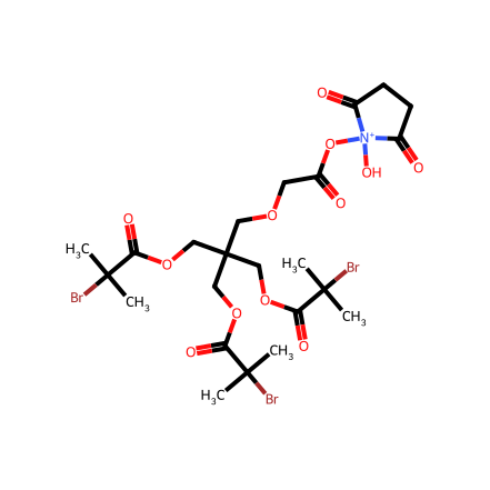 CC(C)(Br)C(=O)OCC(COCC(=O)O[N+]1(O)C(=O)CCC1=O)(COC(=O)C(C)(C)Br)COC(=O)C(C)(C)Br